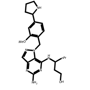 CCCC(CCO)Nc1nc(N)nc2cnn(Cc3ccc(C4CCCN4)cc3OC)c12